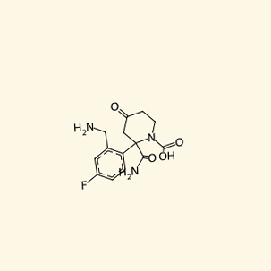 NCc1cc(F)ccc1C1(C(N)=O)CC(=O)CCN1C(=O)O